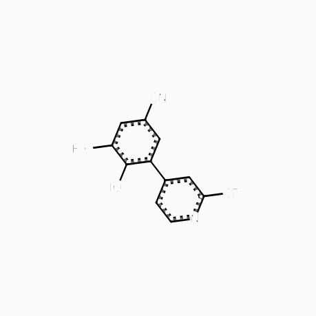 N#Cc1cc(-c2ccnc(C(F)(F)F)c2)c(O)c(C(F)(F)F)c1